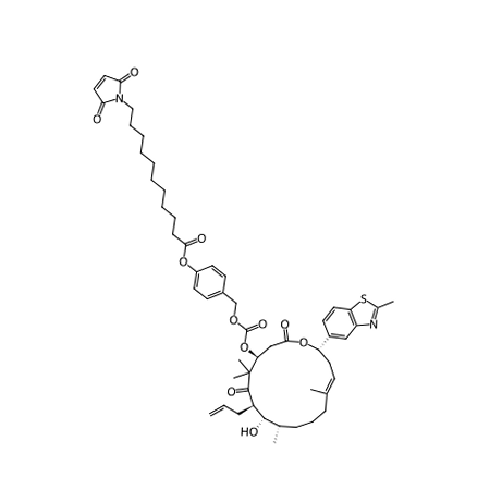 C=CC[C@H]1C(=O)C(C)(C)[C@@H](OC(=O)OCc2ccc(OC(=O)CCCCCCCCCCN3C(=O)C=CC3=O)cc2)CC(=O)O[C@H](c2ccc3sc(C)nc3c2)C/C=C(\C)CCC[C@H](C)[C@@H]1O